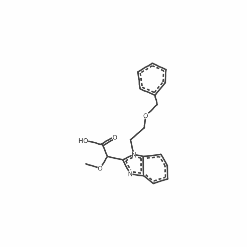 COC(C(=O)O)c1nc2ccccc2n1CCOCc1ccccc1